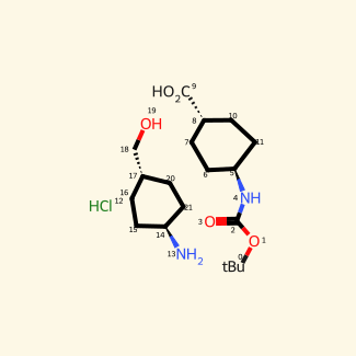 CC(C)(C)OC(=O)N[C@H]1CC[C@H](C(=O)O)CC1.Cl.N[C@H]1CC[C@H](CO)CC1